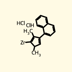 CC1=[C]([Zr])C(C)C=C1c1cccc2ccccc12.Cl.Cl